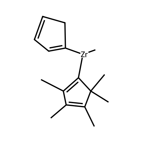 CC1=C(C)C(C)(C)[C]([Zr]([CH3])[C]2=CC=CC2)=C1C